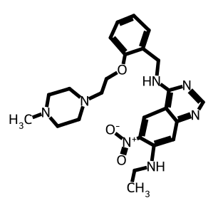 CCNc1cc2ncnc(NCc3ccccc3OCCN3CCN(C)CC3)c2cc1[N+](=O)[O-]